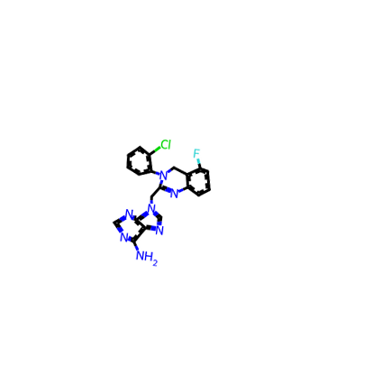 Nc1ncnc2c1ncn2CC1=Nc2cccc(F)c2CN1c1ccccc1Cl